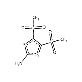 Nc1nc(S(=O)(=O)C(F)(F)F)c(S(=O)(=O)C(F)(F)F)s1